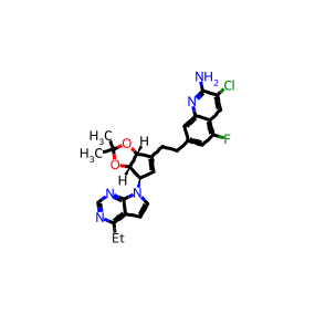 CCc1ncnc2c1ccn2[C@@H]1C=C(CCc2cc(F)c3cc(Cl)c(N)nc3c2)[C@H]2OC(C)(C)O[C@H]21